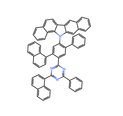 c1ccc(-c2nc(-c3cc(-c4ccccc4)c(-n4c5cc6ccccc6cc5c5ccc6ccccc6c54)cc3-c3cccc4ccccc34)nc(-c3cccc4ccccc34)n2)cc1